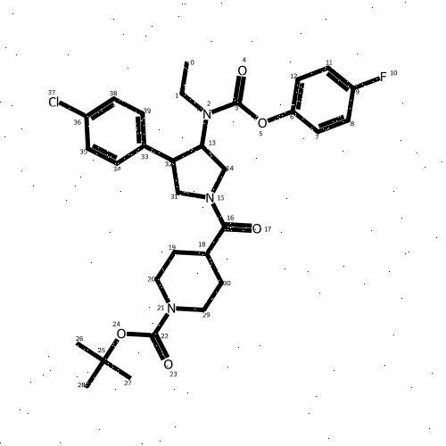 CCN(C(=O)Oc1ccc(F)cc1)C1CN(C(=O)C2CCN(C(=O)OC(C)(C)C)CC2)CC1c1ccc(Cl)cc1